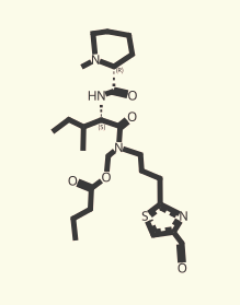 CCCC(=O)OCN(CCCc1nc(C=O)cs1)C(=O)[C@@H](NC(=O)[C@H]1CCCCN1C)C(C)CC